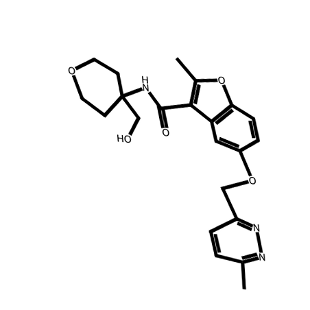 Cc1ccc(COc2ccc3oc(C)c(C(=O)NC4(CO)CCOCC4)c3c2)nn1